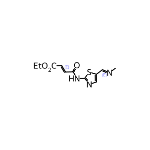 CCOC(=O)/C=C/C(=O)Nc1ncc(/C=N/C)s1